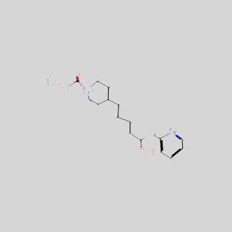 CC(C)(C)OC(=O)N1CCC(CCCCC(O)Sc2ccccn2)CC1